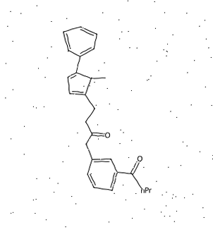 CCCC(=O)c1cccc(CC(=O)CCC2=CC=C(c3ccccc3)C2C)c1